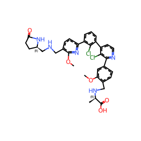 COc1cc(-c2nccc(-c3cccc(-c4ccc(CNC[C@H]5CCC(=O)N5)c(OC)n4)c3Cl)c2Cl)ccc1CN[C@H](C)C(=O)O